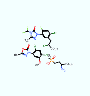 CC(C)Oc1cc(-n2nc(C(C)(C)C)oc2=O)c(Cl)cc1Cl.CP(=O)(O)CCC(N)C(=O)O.Cc1nn(-c2cc(CC(Cl)C(=O)O)c(Cl)cc2F)c(=O)n1C(F)F